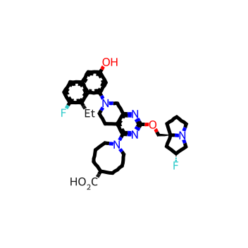 CCc1c(F)ccc2cc(O)cc(N3CCc4c(nc(OC[C@@]56CCCN5C[C@H](F)C6)nc4N4CCCC(C(=O)O)CCC4)C3)c12